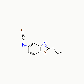 CCCc1nc2cc(N=C=S)ccc2s1